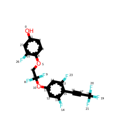 Oc1ccc(OCC(F)(F)Oc2cc(F)c(C#CC(F)(F)F)c(F)c2)c(F)c1